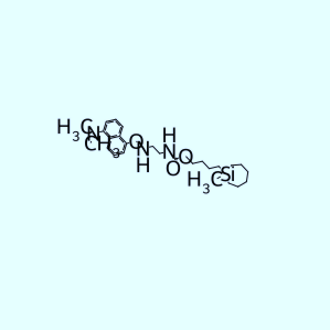 CN(C)c1cccc2c(ONCCNC(=O)OCCCC[Si]3(C)CCCCCC3)cccc12